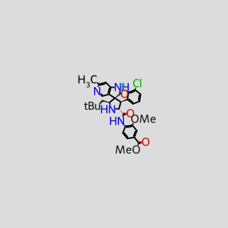 COC(=O)c1ccc(NC(=O)[C@@H]2N[C@@H](CC(C)(C)C)[C@@]3(C(=O)Nc4cc(C)ncc43)[C@H]2c2cccc(Cl)c2F)c(OC)c1